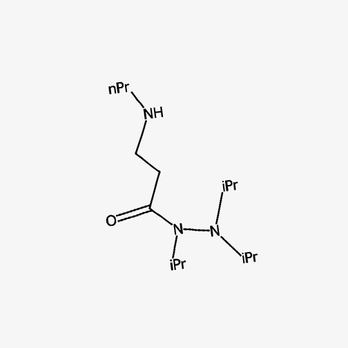 CCCNCCC(=O)N(C(C)C)N(C(C)C)C(C)C